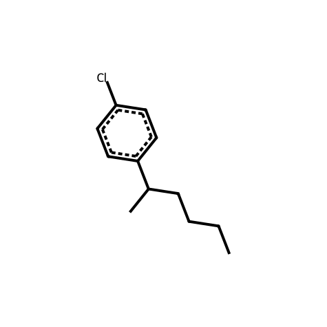 CCCCC(C)c1ccc(Cl)cc1